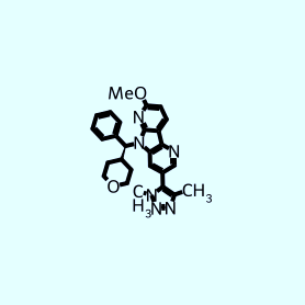 COc1ccc2c3ncc(-c4c(C)nnn4C)cc3n([C@H](c3ccccc3)C3CCOCC3)c2n1